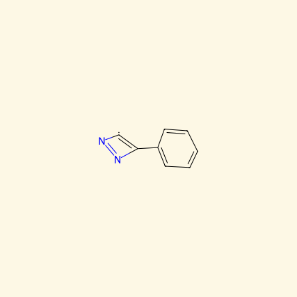 [C]1=C(c2ccccc2)N=N1